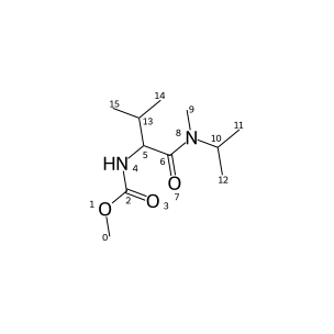 COC(=O)NC(C(=O)N(C)C(C)C)C(C)C